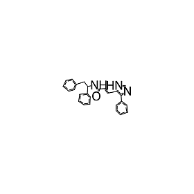 O=C(/C=C/c1[nH]cnc1-c1ccccc1)NC(Cc1ccccc1)c1ccccc1